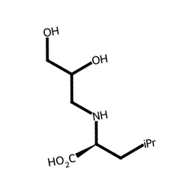 CC(C)C[C@H](NCC(O)CO)C(=O)O